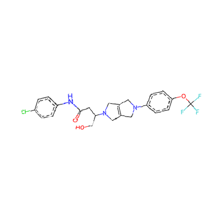 O=C(CC(CO)N1CC2=C(CN(c3ccc(OC(F)(F)F)cc3)C2)C1)Nc1ccc(Cl)cc1